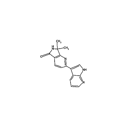 CC1(C)NC(=O)c2ccc(-c3c[nH]c4ncccc34)nc21